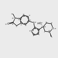 C[C@H]1C[C@@](O)(c2ccsc2Sc2ccc3c(c2)CC(=O)N3C)CCO1